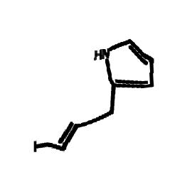 IC=CCc1ccc[nH]1